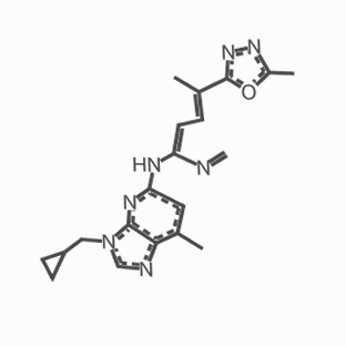 C=N/C(=C\C=C(/C)c1nnc(C)o1)Nc1cc(C)c2ncn(CC3CC3)c2n1